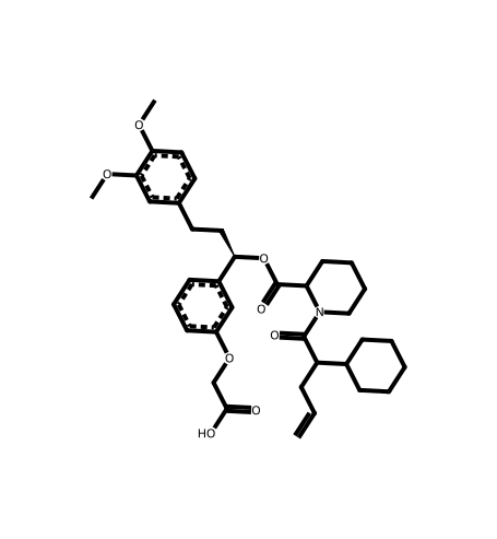 C=CCC(C(=O)N1CCCCC1C(=O)O[C@H](CCc1ccc(OC)c(OC)c1)c1cccc(OCC(=O)O)c1)C1CCCCC1